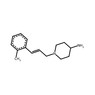 Cc1ccccc1C=CCN1CCC(N)CC1